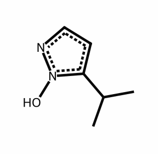 CC(C)c1ccnn1O